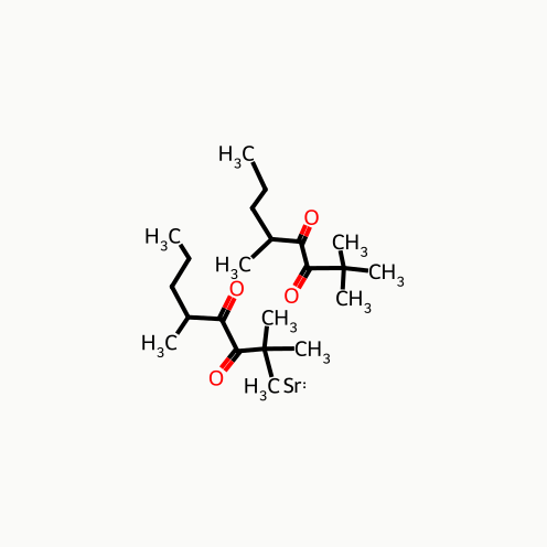 CCCC(C)C(=O)C(=O)C(C)(C)C.CCCC(C)C(=O)C(=O)C(C)(C)C.[Sr]